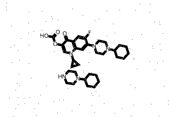 C1CCC(N2CCNCC2)CC1.O=C(O)Oc1cn(C2CC2)c2cc(N3CCN(C4CCCCC4)CC3)c(F)cc2c1=O